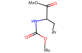 COC(=O)C(CC(C)C)NC(=O)OC(C)(C)C